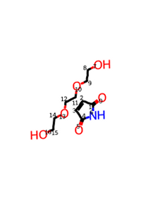 O=C1C=CC(=O)N1.OCCOCCOCCO